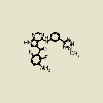 Cn1nnc(-c2cccc(Nc3ncnc4[nH]cc(C(=O)c5c(F)ccc(N)c5F)c34)c2)n1